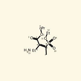 CCCOC(=O)C(CC)=C(C)S(=O)(=O)OCC.N